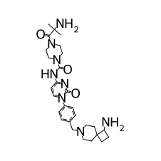 CC(C)(N)C(=O)N1CCN(C(=O)Nc2ccn(-c3ccc(CN4CCC5(CCC5N)CC4)cc3)c(=O)n2)CC1